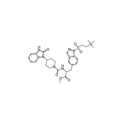 COC(=O)C(Cc1ccc2c(cnn2S(=O)(=O)CC[Si](C)(C)C)c1)NC(=O)N1CCC(n2c(=O)[nH]c3ccccc32)CC1